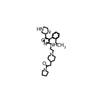 CCc1ccccc1-c1c(NCCN2CCC(CC(=O)N3CCCC3)CC2)noc1C1CNCC[N]1